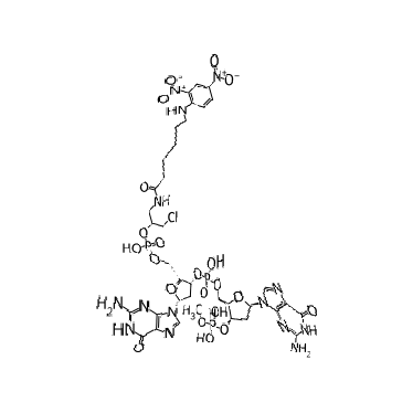 CO[PH](O)(O)O[C@@H]1C[C@H](n2cnc3c(=O)[nH]c(N)nc32)O[C@@H]1COP(=O)(O)O[C@@H]1C[C@H](n2cnc3c(=O)[nH]c(N)nc32)O[C@@H]1COP(=O)(O)OC(CCl)CNC(=O)CCCCCNc1ccc([N+](=O)[O-])cc1[N+](=O)[O-]